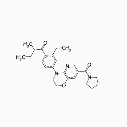 CCc1cc(N2CCOc3cc(C(=O)N4CCCC4)cnc32)ccc1C(=O)C(C)CC